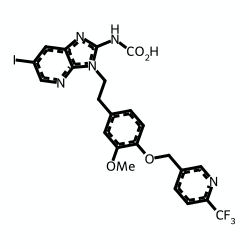 COc1cc(CCn2c(NC(=O)O)nc3cc(I)cnc32)ccc1OCc1ccc(C(F)(F)F)nc1